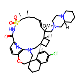 CO[C@]1(CN2CCN3CCCC[C@@H]3C2)/C=C/C[C@H](C)[C@@H](C)S(=O)(=O)NC(=O)c2ccc3c(n2)N(C[C@@H]2CC[C@H]21)C[C@@]1(CCCc2cc(Cl)ccc21)CO3